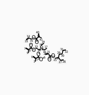 C=C(C)C(=O)OC.C=C(C)C(=O)OCCN(CC)CC.C=CC(=O)OCC(CC)CCCC.C=CCOC(=O)C(=C)C